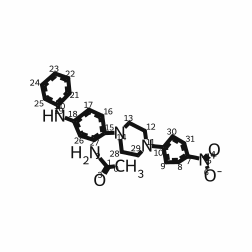 CC(N)=O.O=[N+]([O-])c1ccc(N2CCN(c3ccc(Nc4ccccc4)cc3)CC2)cc1